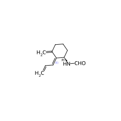 C=C/C=C1\C(=C)CCC[C@H]1NC=O